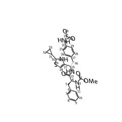 COC(=O)N[C@@H](Cc1ccccc1)C(=O)N[C@@H](Cc1ccc(N[SH](=O)=O)cc1)C1=CSC(C2CC2)N1